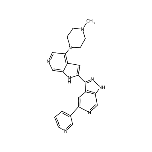 CN1CCN(c2cncc3[nH]c(-c4n[nH]c5cnc(-c6cccnc6)cc45)cc23)CC1